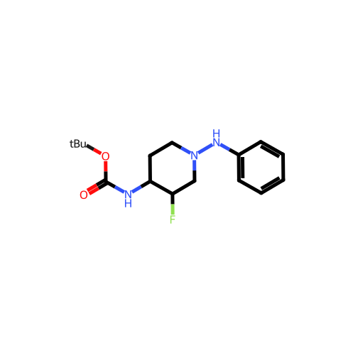 CC(C)(C)OC(=O)NC1CCN(Nc2ccccc2)CC1F